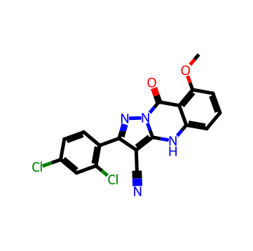 COc1cccc2[nH]c3c(C#N)c(-c4ccc(Cl)cc4Cl)nn3c(=O)c12